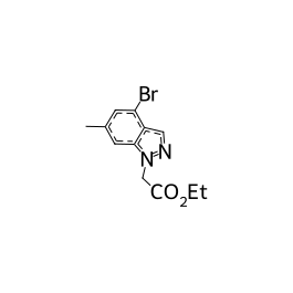 CCOC(=O)Cn1ncc2c(Br)cc(C)cc21